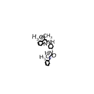 C/C(=C\c1ccccc1)C(=O)NC[C@H]1CC[C@@H](Nc2cc(N(C)C)c3ccccc3n2)CC1